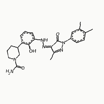 CC1=NN(c2ccc(C)c(C)c2)C(=O)C1=NNc1cccc(C2CCCN(C(N)=O)C2)c1O